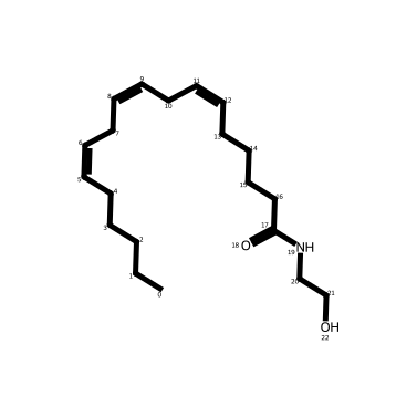 CCCCC/C=C\C/C=C\C/C=C\CCCCC(=O)NCCO